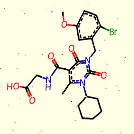 COc1ccc(Br)c(Cn2c(=O)c(C(=O)NCC(=O)O)c(C)n(C3CCCCC3)c2=O)c1